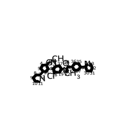 CN(Oc1ccc(-c2ccccn2)cc1)c1cc(Cl)cc(N(C)C(=O)c2ccc(-c3ccccn3)cc2)c1